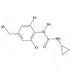 CCc1cc(CC(C)C)cc(CC)c1N(S)C(=O)NC1CC1